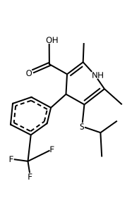 CC1=C(SC(C)C)C(c2cccc(C(F)(F)F)c2)C(C(=O)O)=C(C)N1